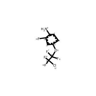 Nc1ccc(OC(F)(F)C(F)(F)Cl)cc1F